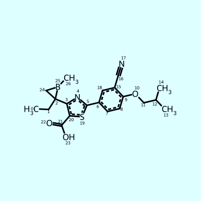 CCC1(c2nc(-c3ccc(OCC(C)C)c(C#N)c3)sc2C(=O)O)CB1C